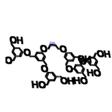 OCC1=CC(CO)CC(OCc2cc(COc3cc(CO)cc(CO)c3)cc(OC/C=C\COc3cc(COc4cc(CO)cc(CO)c4)cc(COc4cc(CO)cc(CO)c4)c3)c2)=C1